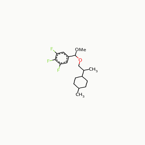 COC(OCC(C)C1CCC(C)CC1)c1cc(F)c(F)c(F)c1